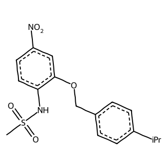 CC(C)c1ccc(COc2cc([N+](=O)[O-])ccc2NS(C)(=O)=O)cc1